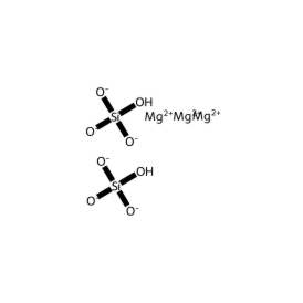 [Mg+2].[Mg+2].[Mg+2].[O-][Si]([O-])([O-])O.[O-][Si]([O-])([O-])O